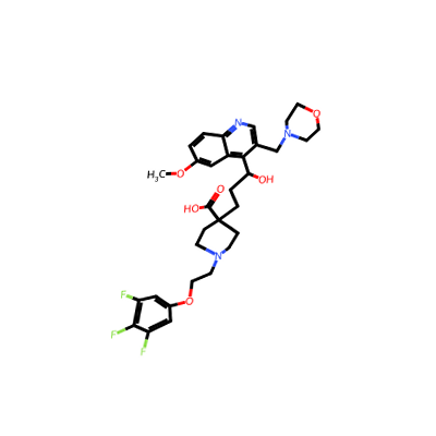 COc1ccc2ncc(CN3CCOCC3)c(C(O)CCC3(C(=O)O)CCN(CCOc4cc(F)c(F)c(F)c4)CC3)c2c1